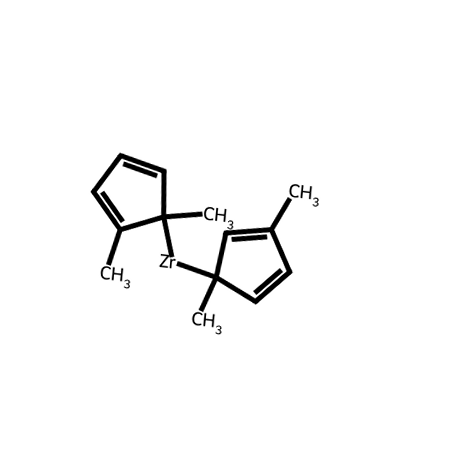 CC1=C[C](C)([Zr][C]2(C)C=CC=C2C)C=C1